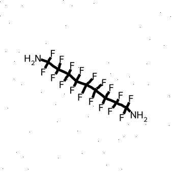 NC(F)(F)C(F)(F)C(F)(F)C(F)(F)C(F)(F)C(F)(F)C(F)(F)C(F)(F)C(N)(F)F